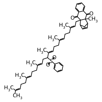 CC(C)=CCC/C(C)=C/CC/C(C)=C/CC(/C(C)=C/CC/C(C)=C/CC/C(C)=C/CC12C(=O)c3ccccc3C(=O)C1(C)C1C=CC2C1)S(=O)(=O)c1ccccc1